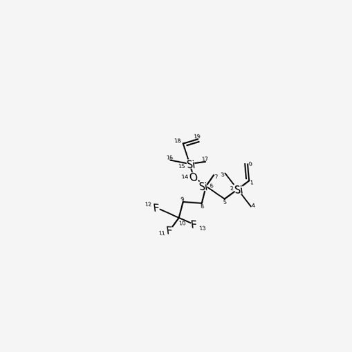 C=C[Si](C)(C)C[Si](C)(CCC(F)(F)F)O[Si](C)(C)C=C